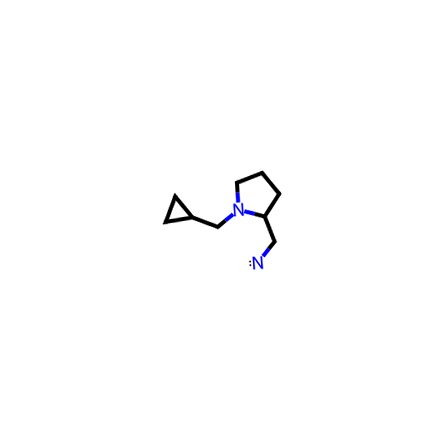 [N]CC1CCCN1CC1CC1